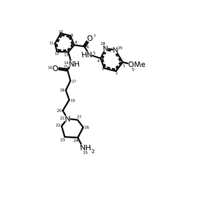 COc1ccc(NC(=O)c2ccccc2NC(=O)CCCCN2CCC(N)CC2)nn1